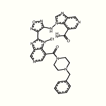 CCn1c(-c2nonc2Nn2cnc3cncc(C(N)=O)c32)nc2cncc(C(=O)N3CCN(Cc4ccccc4)CC3)c21